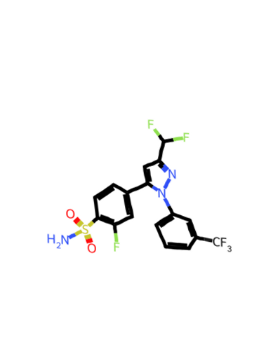 NS(=O)(=O)c1ccc(-c2cc(C(F)F)nn2-c2cccc(C(F)(F)F)c2)cc1F